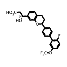 O=C(O)C[C@@H](O)c1ccc2c(c1)OC(c1ccc(-c3cc(OC(F)(F)F)ccc3F)cc1)CC2